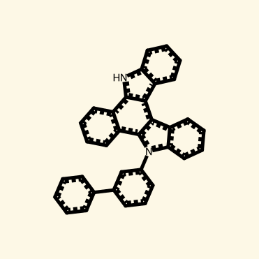 c1ccc(-c2cccc(-n3c4ccccc4c4c5c6ccccc6[nH]c5c5ccccc5c43)c2)cc1